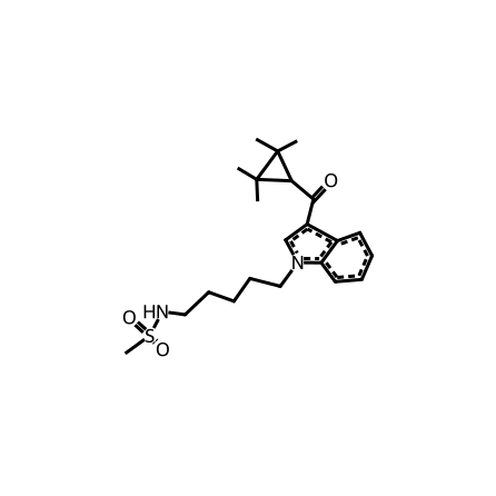 CC1(C)C(C(=O)c2cn(CCCCCNS(C)(=O)=O)c3ccccc23)C1(C)C